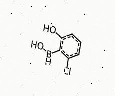 OBc1c(O)cccc1Cl